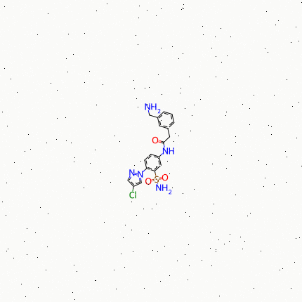 NCc1cccc(CC(=O)Nc2ccc(-n3cc(Cl)cn3)c(S(N)(=O)=O)c2)c1